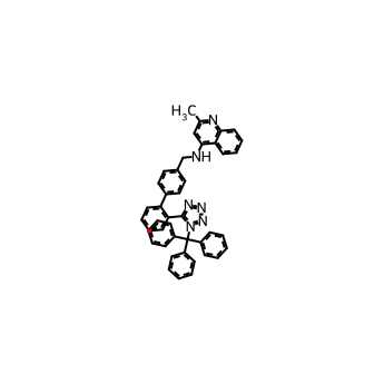 Cc1cc(NCc2ccc(-c3ccccc3-c3nnnn3C(c3ccccc3)(c3ccccc3)c3ccccc3)cc2)c2ccccc2n1